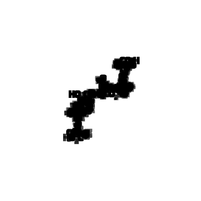 C=CC(=O)OCC(COc1ccc(C2(c3ccc(OC(C)(C)CC(COC(=O)C=C)OC(=O)c4cc(-c5ccc(C(=O)O)c(C(=O)OC(COC(=O)C=C)COc6ccc(C7(c8ccc(OC(C)(C)CC(COC(=O)C=C)OC(=O)C9CC=CCC9C(=O)O)cc8)c8ccccc8-c8ccccc87)cc6)c5)ccc4C(=O)O)cc3)c3ccccc3-c3ccccc32)cc1)CC(=O)C1CC=CCC1C(=O)O